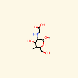 CO[C@@H]1OC(CO)[C@@H](C)C(O)[C@@H]1NCC(=O)O